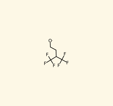 [O]CCC(C(F)(F)F)C(F)(F)F